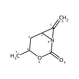 C=C1C2CC(C)OC(=O)N12